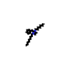 CCCCCCCCC[n+]1ccn(CCCCCCC)c1Cc1ccccc1